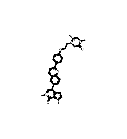 C[C@H]1CN(C)C(=O)CN1CCOc1ccc(-c2ccc3cc(-c4cn(C)c(=O)c5[nH]ccc45)ccc3n2)cc1